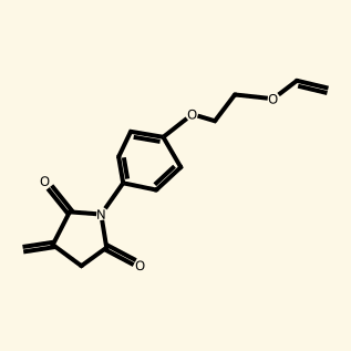 C=COCCOc1ccc(N2C(=O)CC(=C)C2=O)cc1